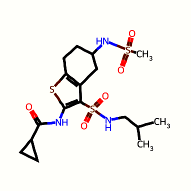 CC(C)CNS(=O)(=O)c1c(NC(=O)C2CC2)sc2c1CC(NS(C)(=O)=O)CC2